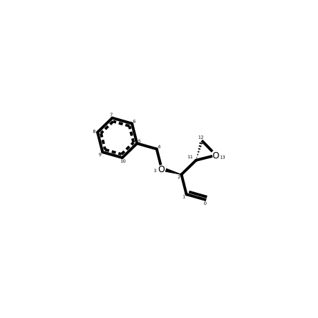 C=C[C@@H](OCc1ccccc1)[C@@H]1CO1